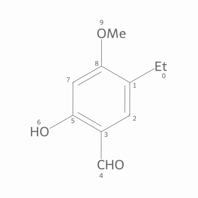 CCc1cc(C=O)c(O)cc1OC